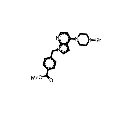 COC(=O)c1ccc(Cn2ccc3c(N4CCN(C(C)C)CC4)ccnc32)cc1